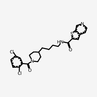 O=C(NCCCCC1CCN(C(=O)c2cc(Cl)ccc2Cl)CC1)c1cc2ccncc2s1